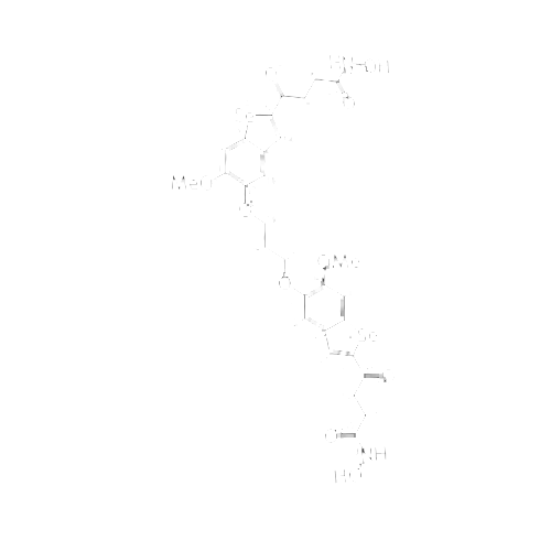 COc1cc2[se]c(C(=O)CCC(=O)NO)cc2cc1OCCCOc1cc2cc(C(=O)CCC(=O)NO)[se]c2cc1OC